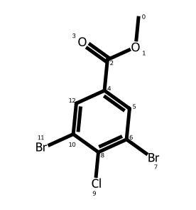 COC(=O)c1cc(Br)c(Cl)c(Br)c1